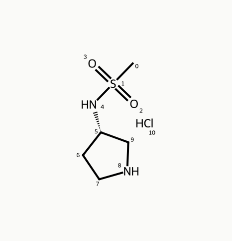 CS(=O)(=O)N[C@H]1CCNC1.Cl